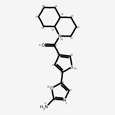 Nc1ncc(-c2cc(C(=O)N3CCCC4CCCCC43)cs2)o1